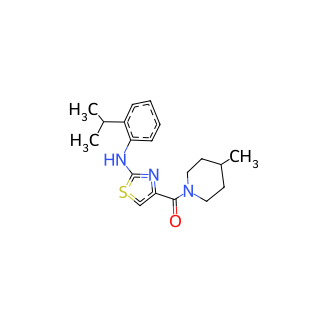 CC1CCN(C(=O)c2csc(Nc3ccccc3C(C)C)n2)CC1